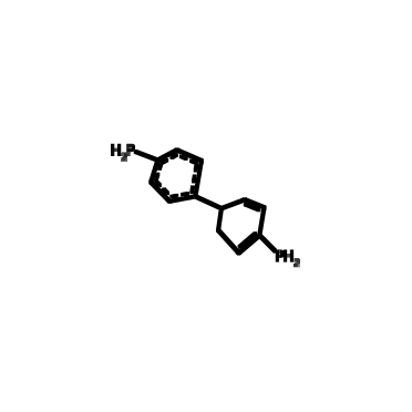 PC1=CCC(c2ccc(P)cc2)C=C1